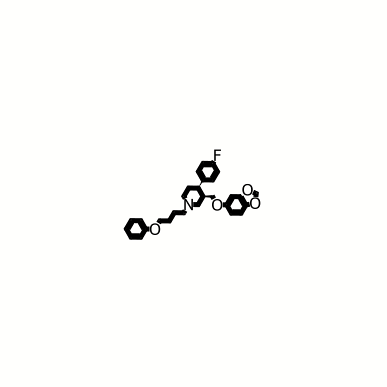 Fc1ccc([C@H]2CCN(CCCCOc3ccccc3)C[C@@H]2COc2ccc3c(c2)OCO3)cc1